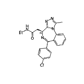 CCNC(=O)C[C@@H]1N=C(c2ccc(Cl)cc2)c2ccccc2-n2c(C)nnc21